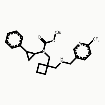 CC(C)(C)OC(=O)N(CC1(CNCc2ccc(C(F)(F)F)nc2)CCC1)C1CC1c1ccccc1